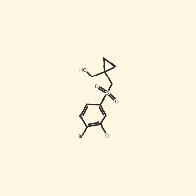 O=S(=O)(CC1(CO)CC1)c1ccc(Br)c(Cl)c1